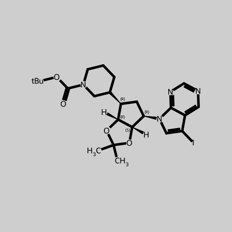 CC(C)(C)OC(=O)N1CCCC([C@H]2C[C@@H](n3cc(I)c4cncnc43)[C@@H]3OC(C)(C)O[C@@H]32)C1